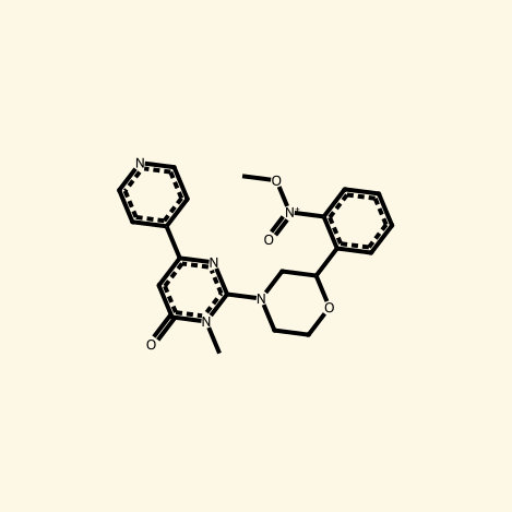 CO[N+](=O)c1ccccc1C1CN(c2nc(-c3ccncc3)cc(=O)n2C)CCO1